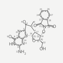 CC(C)C(=O)c1nc2c(=O)[nH]c(N)nc2n1[C@@H]1C[C@H](ON2C(=O)c3ccccc3C2=O)[C@@H](CO)O1